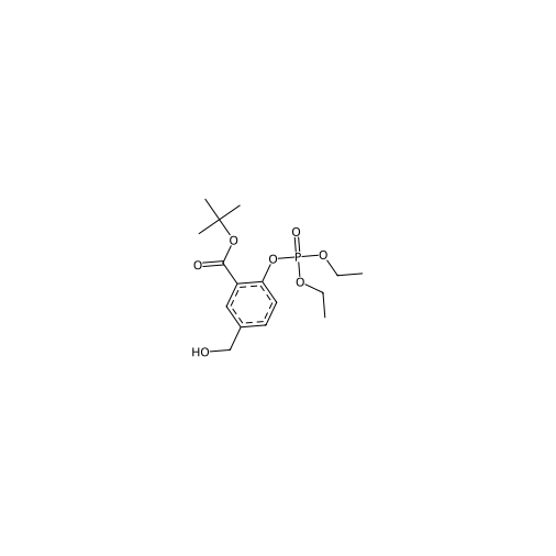 CCOP(=O)(OCC)Oc1ccc(CO)cc1C(=O)OC(C)(C)C